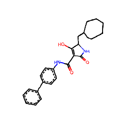 O=C(Nc1ccc(-c2ccccc2)cc1)C1=C(O)C(CC2CCCCC2)NC1=O